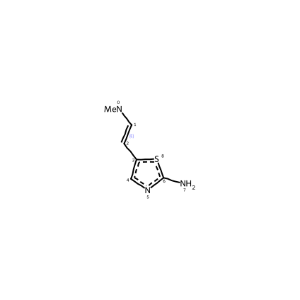 CN/C=C/c1cnc(N)s1